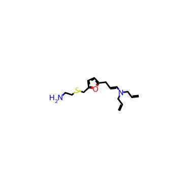 C=CCN(C=CCc1ccc(CSCCN)o1)CC=C